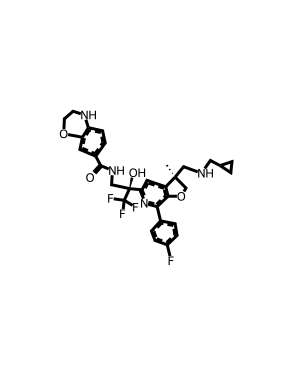 C[C@]1(CNCC2CC2)COc2c1cc([C@@](O)(CNC(=O)c1ccc3c(c1)OCCN3)C(F)(F)F)nc2-c1ccc(F)cc1